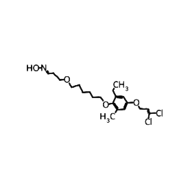 CCc1cc(OCC=C(Cl)Cl)cc(C)c1OCCCCCCOCCC=NO